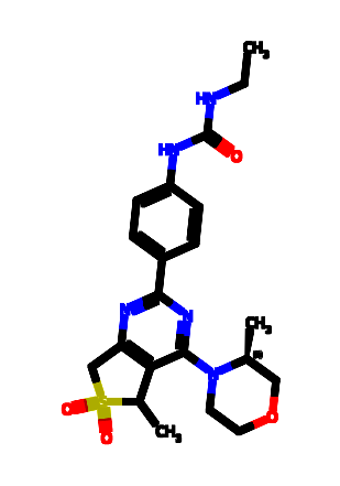 CCNC(=O)Nc1ccc(-c2nc3c(c(N4CCOC[C@@H]4C)n2)C(C)S(=O)(=O)C3)cc1